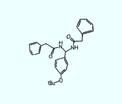 CC(C)(C)Oc1ccc(C(NC(=O)Cc2ccccc2)NC(=O)Cc2ccccc2)cc1